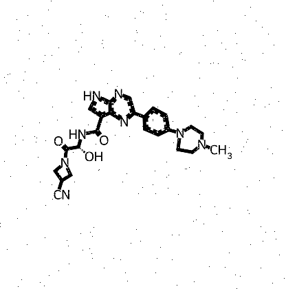 CN1CCN(c2ccc(-c3cnc4[nH]cc(C(=O)N[C@H](O)C(=O)N5CC(C#N)C5)c4n3)cc2)CC1